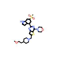 COCCC1CCN(Cc2cc3nc(-c4cc(S(C)(=O)=O)cc5[nH]ccc45)nc(N4CCOCC4)c3s2)CC1